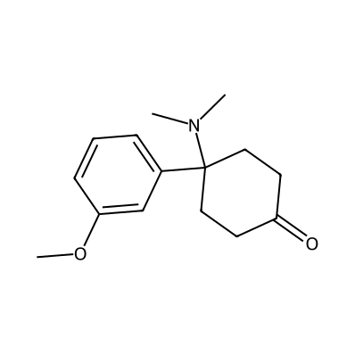 COc1cccc(C2(N(C)C)CCC(=O)CC2)c1